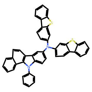 c1ccc(-n2c3ccc(N(c4ccc5c(c4)sc4ccccc45)c4ccc5c(c4)sc4ccccc45)cc3c3ccc4ccccc4c32)cc1